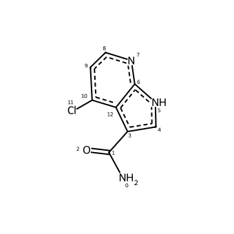 NC(=O)c1c[nH]c2nccc(Cl)c12